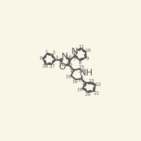 c1ccc(-c2nc(-c3ccccn3)c(C3CCC(c4ccccc4)NC3)o2)cc1